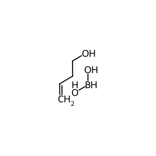 C=CCCO.OBO